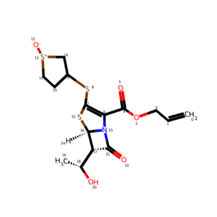 C=CCOC(=O)C1=C(SC2CC[S+]([O-])C2)S[C@@H]2[C@@H]([C@@H](C)O)C(=O)N12